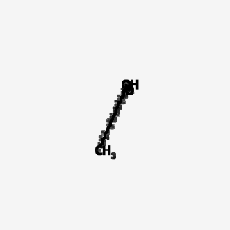 CCCCCCCCCCCCCCCCCC=CCC(=O)O